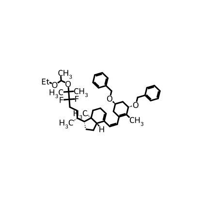 CCOC(C)OC(C)(C)C(F)(F)CC[C@@H](C)[C@H]1CC[C@H]2C(/C=C\C3=C(C)[C@@H](OCc4ccccc4)C[C@H](OCc4ccccc4)C3)=CCC[C@]12C